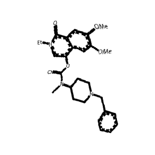 CCn1cc(OC(=O)N(C)C2CCN(Cc3ccccc3)CC2)c2cc(OC)c(OC)cc2c1=O